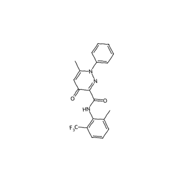 Cc1cccc(C(F)(F)F)c1NC(=O)c1nn(-c2ccccc2)c(C)cc1=O